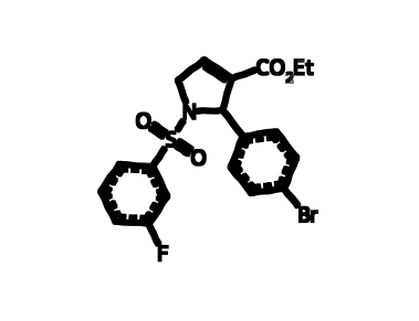 CCOC(=O)C1=CCN(S(=O)(=O)c2cccc(F)c2)C1c1ccc(Br)cc1